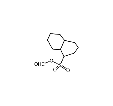 O=COS(=O)(=O)C1CCCC2CCCCC21